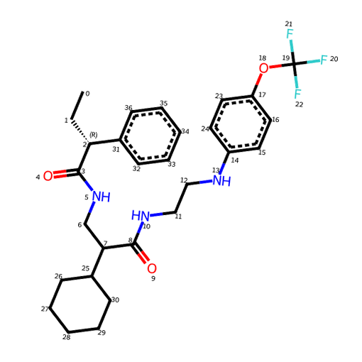 CC[C@@H](C(=O)NCC(C(=O)NCCNc1ccc(OC(F)(F)F)cc1)C1CCCCC1)c1ccccc1